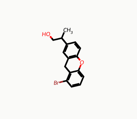 CC(CO)c1ccc2c(c1)Cc1c(Br)cccc1O2